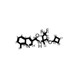 Cc1cccc2cc(C(=O)NC(C)(COC3CCC3)CC(F)(F)F)cnc12